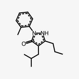 CCCc1[nH]n(-c2ccccc2C)c(=O)c1CC(C)C